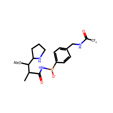 COC(C1CCCN1)C(C)C(=O)N[S+]([O-])c1ccc(CNC(=O)C(F)(F)F)cc1